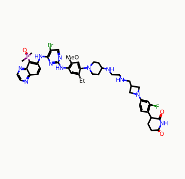 CCc1cc(Nc2ncc(Br)c(Nc3ccc4nccnc4c3P(C)(C)=O)n2)c(OC)cc1N1CCC(NCCNCC2CN(c3ccc(C4CCC(=O)NC4=O)c(F)c3)C2)CC1